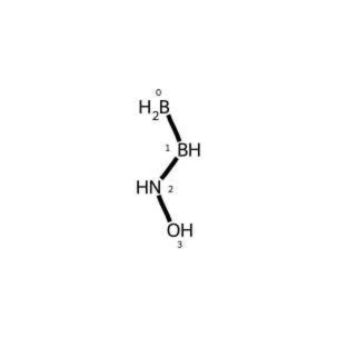 BBNO